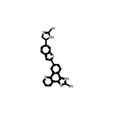 CC(C)C1=NCC(c2ccc3cc(-c4ccc5c(c4)c4ncccc4c4nc(C(C)C)[nH]c54)sc3c2)N1